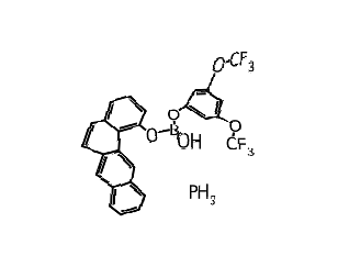 OB(Oc1cc(OC(F)(F)F)cc(OC(F)(F)F)c1)Oc1cccc2ccc3cc4ccccc4cc3c12.P